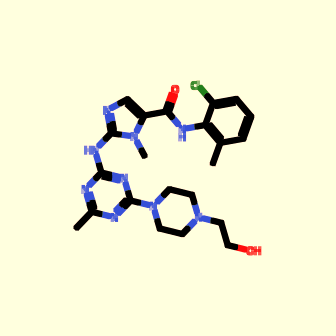 Cc1nc(Nc2ncc(C(=O)Nc3c(C)cccc3Cl)n2C)nc(N2CCN(CCO)CC2)n1